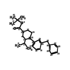 CC(C)C1CN(C(=O)OC(C)(C)C)CCN1c1cccc(Cc2ccccc2)c1